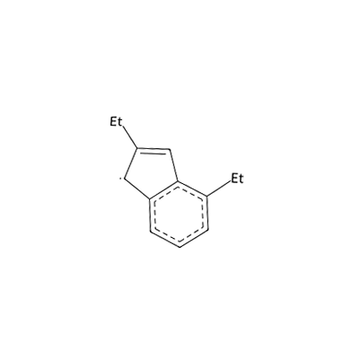 CCC1=Cc2c(cccc2CC)[CH]1